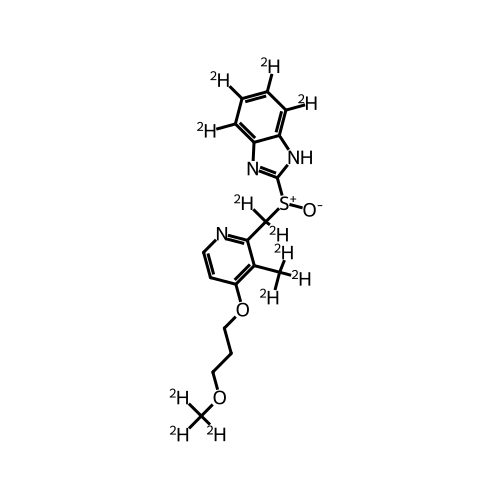 [2H]c1c([2H])c([2H])c2[nH]c([S+]([O-])C([2H])([2H])c3nccc(OCCCOC([2H])([2H])[2H])c3C([2H])([2H])[2H])nc2c1[2H]